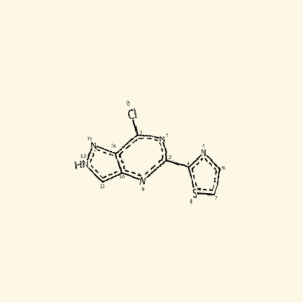 Clc1nc(-c2nccs2)nc2c[nH]nc12